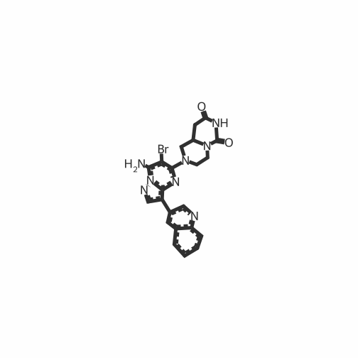 Nc1c(Br)c(N2CCN3C(=O)NC(=O)CC3C2)nc2c(-c3cnc4ccccc4c3)cnn12